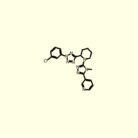 Cn1c(-c2cccnc2)nnc1N1CCCCC1c1nnn(-c2cccc(Cl)c2)n1